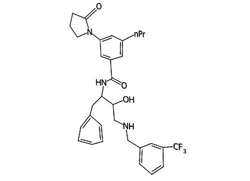 CCCc1cc(C(=O)NC(Cc2ccccc2)C(O)CNCc2cccc(C(F)(F)F)c2)cc(N2CCCC2=O)c1